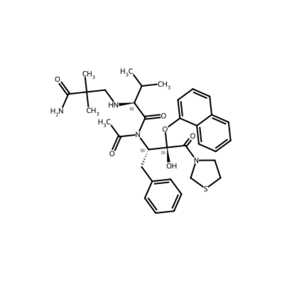 CC(=O)N(C(=O)[C@@H](NCC(C)(C)C(N)=O)C(C)C)[C@@H](Cc1ccccc1)[C@](O)(Oc1cccc2ccccc12)C(=O)N1CCSC1